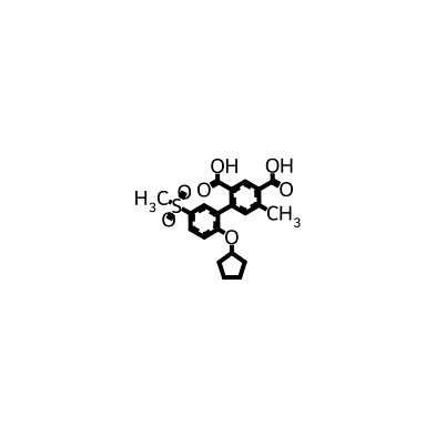 Cc1cc(-c2cc(S(C)(=O)=O)ccc2OC2CCCC2)c(C(=O)O)cc1C(=O)O